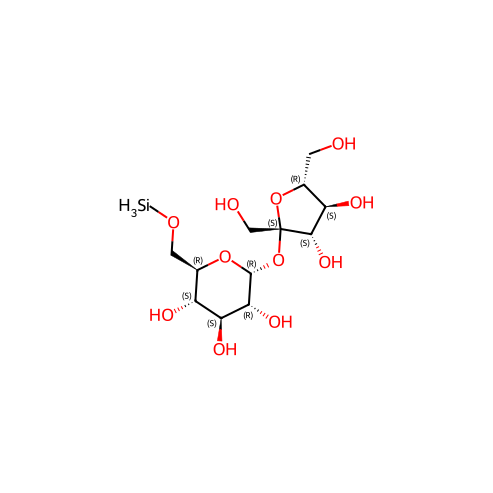 OC[C@H]1O[C@@](CO)(O[C@H]2O[C@H](CO[SiH3])[C@@H](O)[C@H](O)[C@H]2O)[C@@H](O)[C@@H]1O